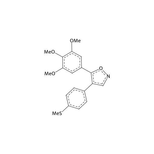 COc1cc(-c2oncc2-c2ccc(SC)cc2)cc(OC)c1OC